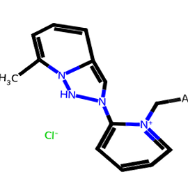 CC(=O)C[n+]1ccccc1N1C=C2C=CC=C(C)N2N1.[Cl-]